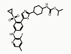 Cc1cnc(Nc2ccc(-c3cnc(C4CCC(NC(=O)OC(C)C)CC4)s3)c(S(=O)(=O)C3CC3)c2)c(F)c1